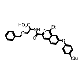 CCc1nc(C(=O)NC(COCc2ccccc2)C(=O)O)cc2ccc(Oc3ccc(C(C)(C)C)cc3)cc12